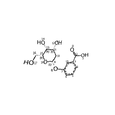 O=C(O)c1cccc(O[C@H]2C[C@@H](O)[C@@H](O)[C@@H](CO)O2)c1